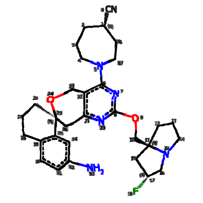 N#C[C@@H]1CCCN(c2nc(OC[C@@]34CCCN3C[C@H](F)C4)nc3c2CO[C@@]2(CCCc4ccc(N)cc42)C3)CC1